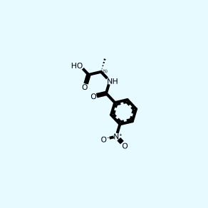 C[C@H](NC(=O)c1cccc([N+](=O)[O-])c1)C(=O)O